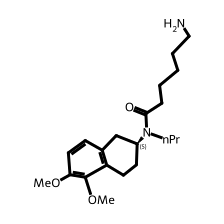 CCCN(C(=O)CCCCCN)[C@H]1CCc2c(ccc(OC)c2OC)C1